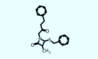 CC1C(=O)N(CC(=O)CCc2ccccc2)C1SCc1ccccc1